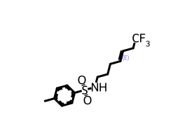 Cc1ccc(S(=O)(=O)NCCC/C=C/CC(F)(F)F)cc1